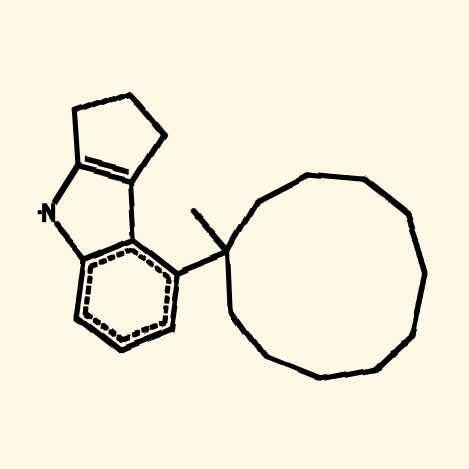 CC1(c2cccc3c2C2=C(CCC2)[N]3)CCCCCCCCCC1